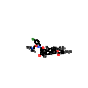 CC(C)C1=C2[C@H]3CC[C@@H]4[C@@]5(C)CC[C@H](OC(=O)[C@H]6C[C@@H](C(=O)O)C6(C)C)C(C)(C)[C@@H]5CC[C@@]4(C)[C@]3(C)CC[C@@]2(CC(=O)NCc2ccc(Cl)cc2OCCN(C)C)CC1=O